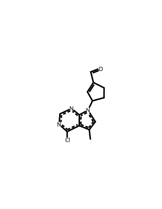 Cc1cn(C2C=C(C=O)CC2)c2ncnc(Cl)c12